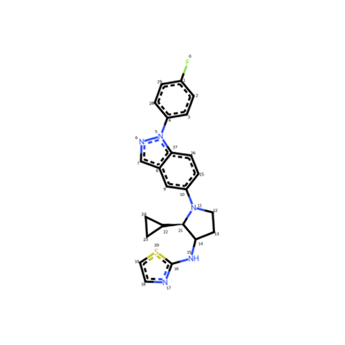 Fc1ccc(-n2ncc3cc(N4CCC(Nc5nccs5)[C@H]4C4CC4)ccc32)cc1